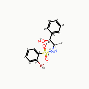 C[C@H](NS(=O)(=O)c1ccccc1Br)[C@@H](O)c1ccccc1